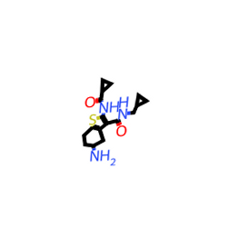 NC1CCc2sc(NC(=O)C3CC3)c(C(=O)NCC3CC3)c2C1